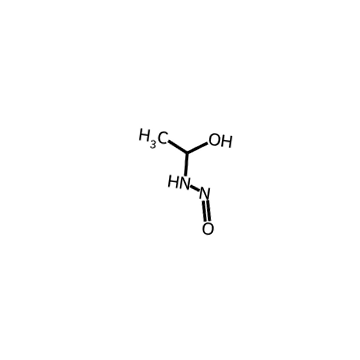 CC(O)NN=O